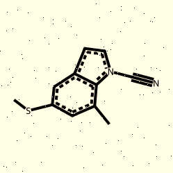 CSc1cc(C)c2c(ccn2C#N)c1